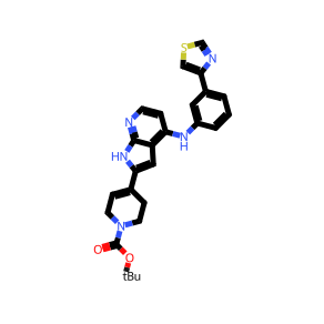 CC(C)(C)OC(=O)N1CC=C(c2cc3c(Nc4cccc(-c5cscn5)c4)ccnc3[nH]2)CC1